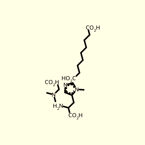 CN(C)CC(=O)O.Cn1cncc1CC(N)C(=O)O.O=C(O)CCCCCCCC(=O)O